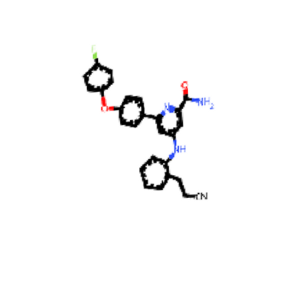 N#CCCc1ccccc1Nc1cc(C(N)=O)nc(-c2ccc(Oc3ccc(F)cc3)cc2)c1